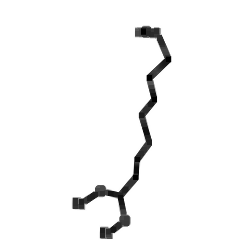 CCCCCCCCCCCCCCCC(OCC)OCC